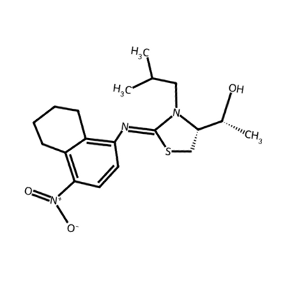 CC(C)CN1C(=Nc2ccc([N+](=O)[O-])c3c2CCCC3)SC[C@H]1[C@@H](C)O